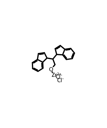 [Cl-].[Cl-].[Zr+2][O]CC(C1C=Cc2ccccc21)C1C=Cc2ccccc21